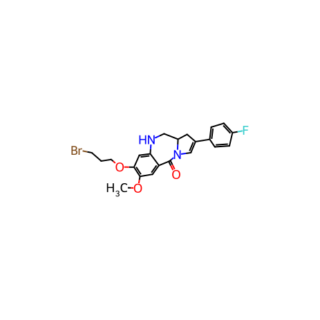 COc1cc2c(cc1OCCCBr)NCC1CC(c3ccc(F)cc3)=CN1C2=O